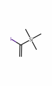 C=C(I)[Si](C)(C)C